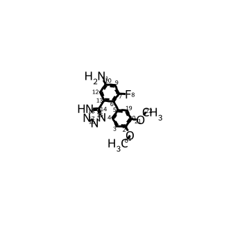 COc1ccc(-c2c(F)cc(N)cc2-c2nnn[nH]2)cc1OC